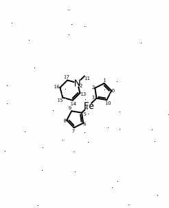 C1=CC[C]([Fe][C]2=CC=CC2)=C1.CN1C=CCCC1